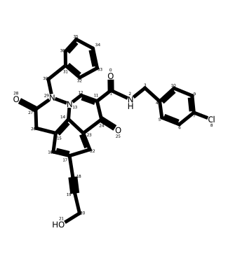 O=C(NCc1ccc(Cl)cc1)c1cn2c3c(cc(C#CCO)cc3c1=O)CC(=O)N2Cc1ccccc1